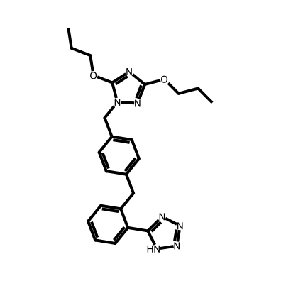 CCCOc1nc(OCCC)n(Cc2ccc(Cc3ccccc3-c3nnn[nH]3)cc2)n1